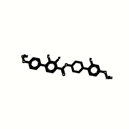 CCCCOc1ccc(-c2ccc(C(=O)OC3CCC(c4ccc(OCCCC)cc4F)CC3)c(F)c2F)cc1